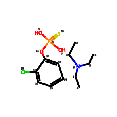 CCN(CC)CC.OP(O)(=S)Oc1ccccc1Cl